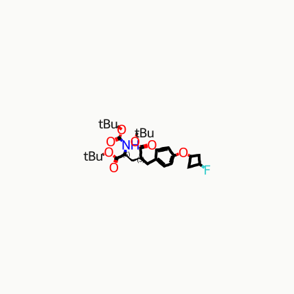 CC(C)(C)OC(=O)N[C@@H](C[C@H](Cc1ccc(OC2CC(F)C2)cc1)C(=O)OC(C)(C)C)C(=O)OC(C)(C)C